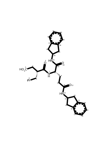 CC(C)C[C@H](CC(=O)O)C(=O)N[C@@H](CCC(=O)NC1Cc2ccccc2C1)C(=O)NC1Cc2ccccc2C1